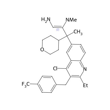 CCc1nc2ccc(C(C)(/C(=C/N)NC)C3CCOCC3)cc2c(Cl)c1Cc1ccc(C(F)(F)F)cc1